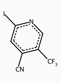 N#Cc1cc(I)ncc1C(F)(F)F